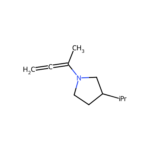 C=C=C(C)N1CCC(C(C)C)C1